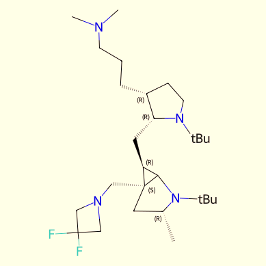 C[C@@H]1C[C@]2(CN3CC(F)(F)C3)C([C@@H]2C[C@@H]2[C@H](CCCN(C)C)CCN2C(C)(C)C)N1C(C)(C)C